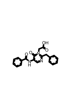 O=C(O)Cn1c(Cc2ccccc2)ncc(NC(=O)c2ccccc2)c1=O